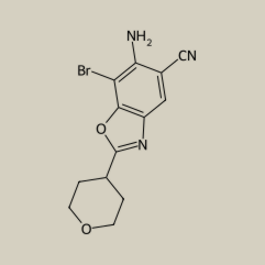 N#Cc1cc2nc(C3CCOCC3)oc2c(Br)c1N